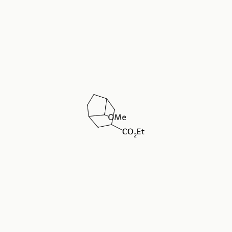 CCOC(=O)C1CC2CCC(C1)C2OC